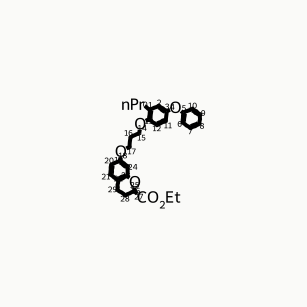 CCCc1cc(Oc2ccccc2)ccc1OCCCOc1ccc2c(c1)OC(C(=O)OCC)CC2